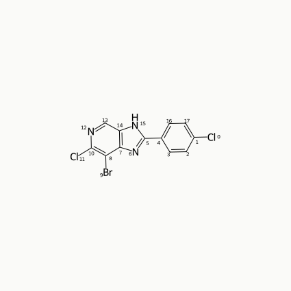 Clc1ccc(-c2nc3c(Br)c(Cl)ncc3[nH]2)cc1